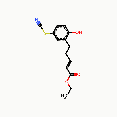 CCOC(=O)C=CCCc1cc(SC#N)ccc1O